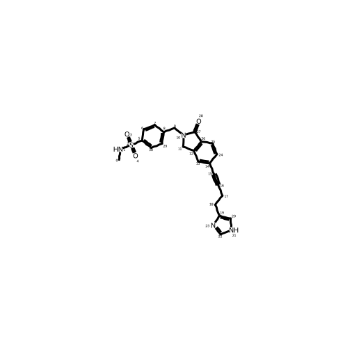 CNS(=O)(=O)c1ccc(CN2Cc3cc(C#CCCc4c[nH]cn4)ccc3C2=O)cc1